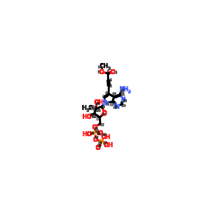 COC(=O)C#Cc1cn(C2OC(COP(=O)(O)OP(=O)(O)O)C(O)[C@@]2(C)O)c2ncnc(N)c12